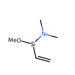 C=C[Si](OC)N(C)C